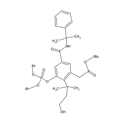 CC(C)OP(=O)(Oc1cc(C(=O)NC(C)(C)c2ccccc2)cc(CC(=O)OC(C)(C)C)c1C(C)(C)CCO)OC(C)C